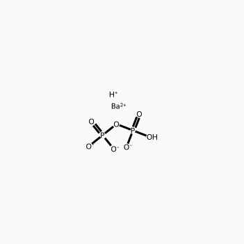 O=P([O-])([O-])OP(=O)([O-])O.[Ba+2].[H+]